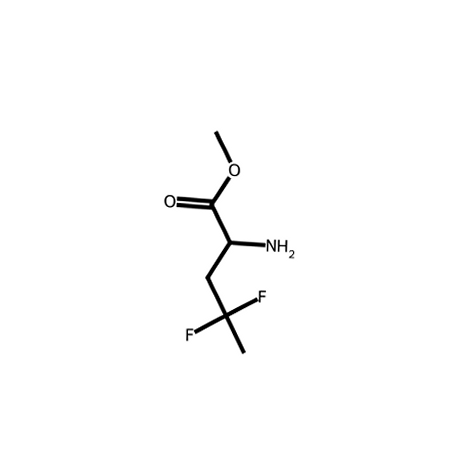 COC(=O)C(N)CC(C)(F)F